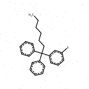 CCCCCCC(c1ccccc1)(c1ccccc1)c1cccc([S])c1